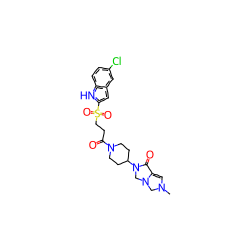 CN1C=C2C(=O)N(C3CCN(C(=O)CCS(=O)(=O)c4cc5cc(Cl)ccc5[nH]4)CC3)CN2C1